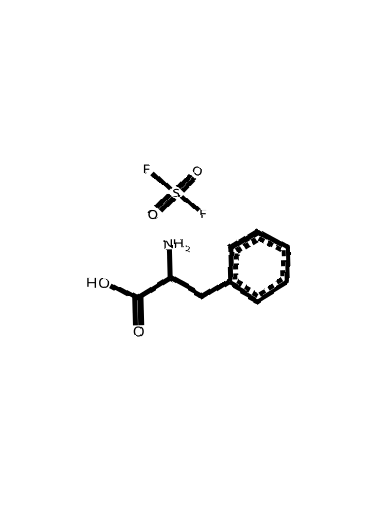 NC(Cc1ccccc1)C(=O)O.O=S(=O)(F)F